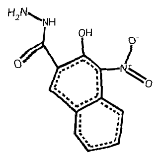 NNC(=O)c1cc2ccccc2c([N+](=O)[O-])c1O